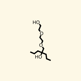 CCCC(O)(CCC)COCCOCCO